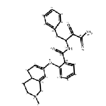 CN1CCC2CC=C(Oc3ncccc3C(=O)NC(Cc3ccccc3)C(=O)C(N)=O)C=C2C1